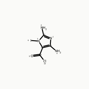 Nc1nc(N)n(I)c1C(=O)Cl